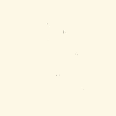 COc1cc(CN2CCC(Nc3nc4ccccc4s3)CC2)cc(OC)c1